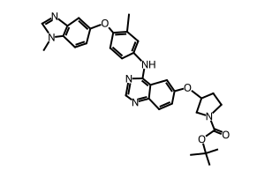 Cc1cc(Nc2ncnc3ccc(OC4CCN(C(=O)OC(C)(C)C)C4)cc23)ccc1Oc1ccc2c(c1)ncn2C